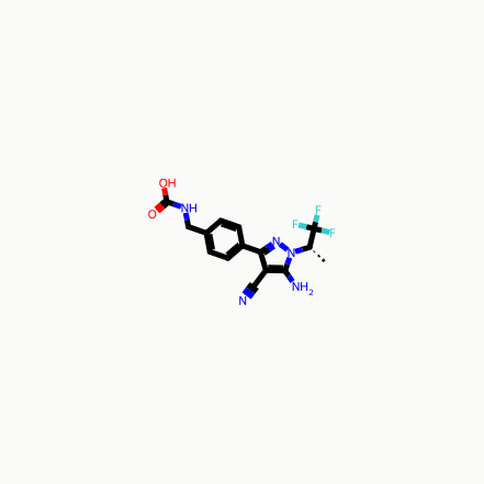 C[C@H](n1nc(-c2ccc(CNC(=O)O)cc2)c(C#N)c1N)C(F)(F)F